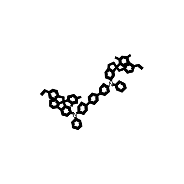 C=Cc1ccc(CC2(c3ccc(C)cc3C)CCc3ccc(N(c4ccccc4)c4ccc(-c5ccc(-c6ccc(N(c7ccccc7)c7ccc8c(c7)C(Cc7ccc(C=C)cc7)(c7ccc(C)cc7C)c7ccccc7-8)cc6)cc5)cc4)cc32)cc1